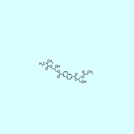 C=CC(=O)OCC(CO)OC(=O)c1ccc2cc(C(=O)OCC(O)COC(=O)C(=C)C)ccc2c1